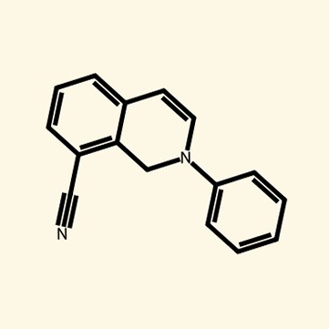 N#Cc1cccc2c1CN(c1ccccc1)C=C2